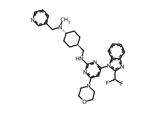 CN(Cc1cccnc1)[C@H]1CC[C@H](CNc2nc(N3CCOCC3)cc(-n3c(C(F)F)nc4ccccc43)n2)CC1